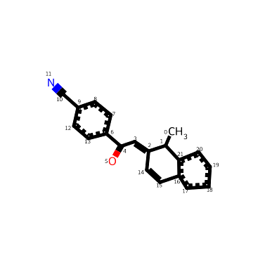 CC1C(=CC(=O)c2ccc(C#N)cc2)C=Cc2ccccc21